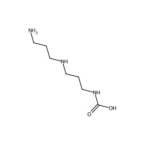 NCCCNCCCNC(=O)O